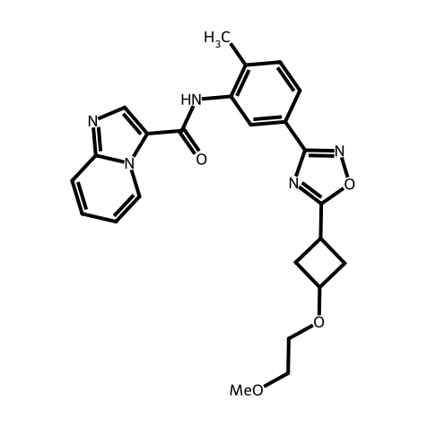 COCCOC1CC(c2nc(-c3ccc(C)c(NC(=O)c4cnc5ccccn45)c3)no2)C1